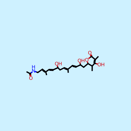 CC(=O)NC/C=C(C)/C=C/C(O)C/C=C(C)/C=C/C(O)CC1OC(=O)C(C)=C(O)C1C